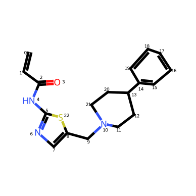 C=CC(=O)Nc1ncc(CN2CCC(c3ccccc3)CC2)s1